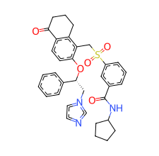 O=C(NC1CCCC1)c1cccc(S(=O)(=O)Cc2c(O[C@H](Cn3ccnc3)c3ccccc3)ccc3c2CCCC3=O)c1